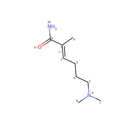 C/C(=C\CCCN(C)C)C(N)=O